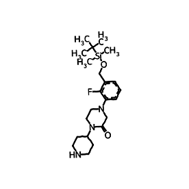 CC(C)(C)[Si](C)(C)OCc1cccc(N2CCN(C3CCNCC3)C(=O)C2)c1F